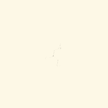 CCCNCC(C)CN